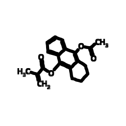 C=C(C)C(=O)Oc1c2c(c(OC(C)=O)c3ccccc13)CCCC2